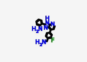 NCc1ccc(-c2ccnc3[nH]c(-c4ccccc4N)nc23)cc1F